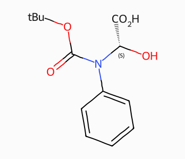 CC(C)(C)OC(=O)N(c1ccccc1)[C@@H](O)C(=O)O